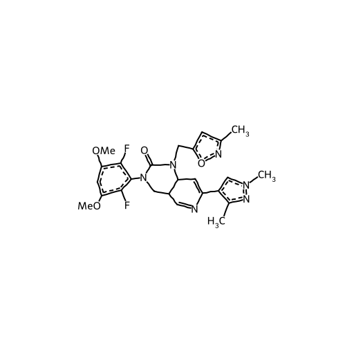 COc1cc(OC)c(F)c(N2CC3C=NC(c4cn(C)nc4C)=CC3N(Cc3cc(C)no3)C2=O)c1F